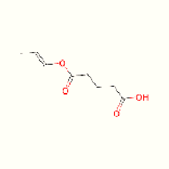 CC=COC(=O)CCCC(=O)O